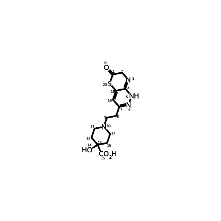 O=C1CN=C2NN=C(CCN3CCC(O)(C(=O)O)CC3)C=C2S1